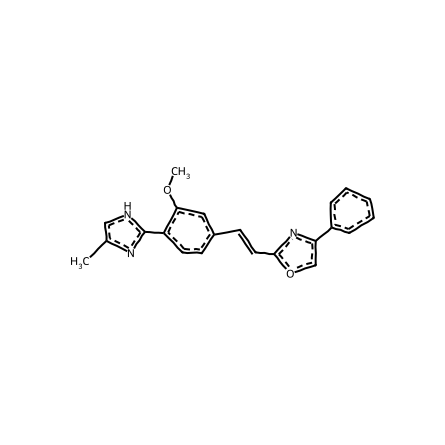 COc1cc(C=Cc2nc(-c3ccccc3)co2)ccc1-c1nc(C)c[nH]1